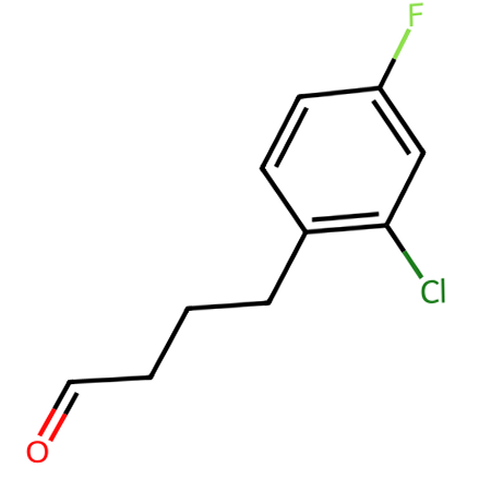 O=CCCCc1ccc(F)cc1Cl